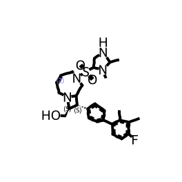 Cc1c(F)ccc(-c2ccc([C@H]3C4CN(S(=O)(=O)C5CNC(C)N5C)C/C=C\CN4[C@@H]3CO)cc2)c1C